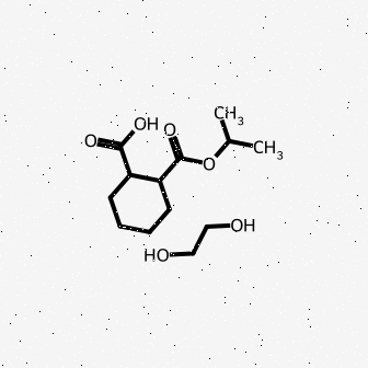 CC(C)OC(=O)C1CCCCC1C(=O)O.OCCO